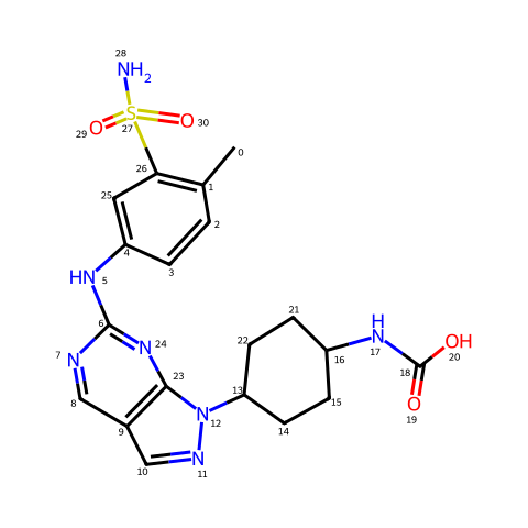 Cc1ccc(Nc2ncc3cnn(C4CCC(NC(=O)O)CC4)c3n2)cc1S(N)(=O)=O